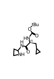 CC(C)(C)OC(=O)N[C@@H](CC1CC1)C(=O)NC1CCN1